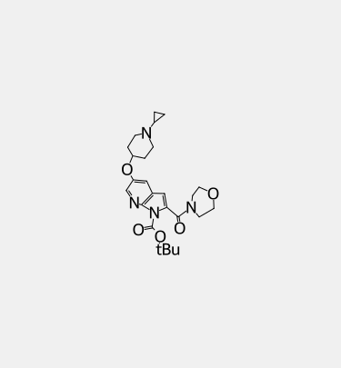 CC(C)(C)OC(=O)n1c(C(=O)N2CCOCC2)cc2cc(OC3CCN(C4CC4)CC3)cnc21